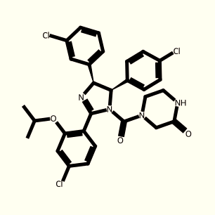 CC(C)Oc1cc(Cl)ccc1C1=N[C@@H](c2cccc(Cl)c2)[C@@H](c2ccc(Cl)cc2)N1C(=O)N1CCNC(=O)C1